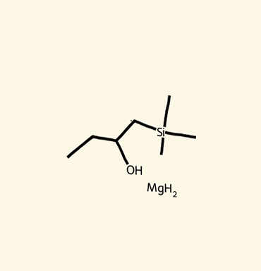 CCC(O)[CH][Si](C)(C)C.[MgH2]